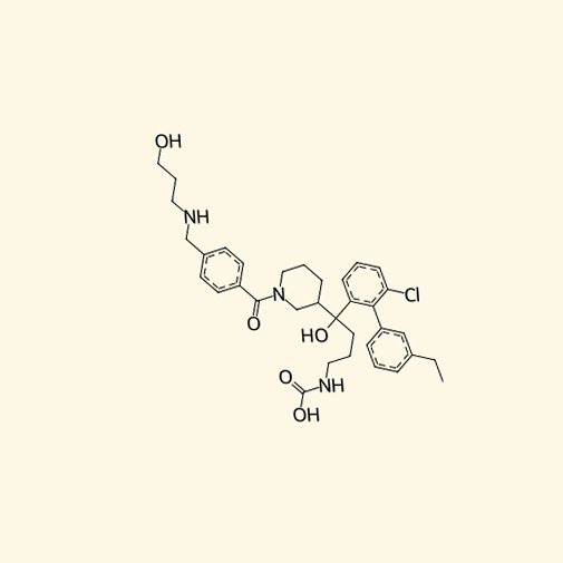 CCc1cccc(-c2c(Cl)cccc2C(O)(CCCNC(=O)O)C2CCCN(C(=O)c3ccc(CNCCCO)cc3)C2)c1